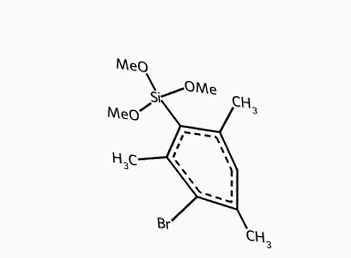 CO[Si](OC)(OC)c1c(C)cc(C)c(Br)c1C